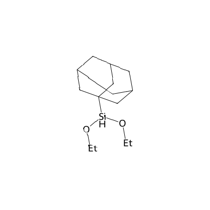 CCO[SiH](OCC)C12CC3CC(CC(C3)C1)C2